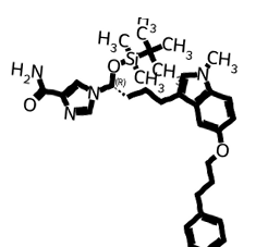 Cn1cc(CCC[C@@H](O[Si](C)(C)C(C)(C)C)n2cnc(C(N)=O)c2)c2cc(OCCCc3ccc(Cl)cc3)ccc21